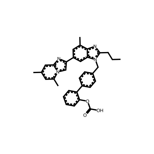 CCCc1nc2c(C)cc(-c3cn4c(C)cc(C)cc4n3)cc2n1Cc1ccc(-c2ccccc2OC(=O)O)cc1